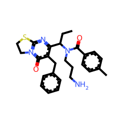 CCC(c1nc2n(c(=O)c1Cc1ccccc1)CCS2)N(CCCN)C(=O)c1ccc(C)cc1